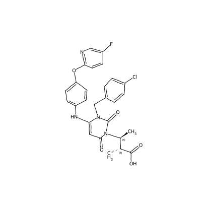 C[C@@H](C(=O)O)[C@H](C)n1c(=O)cc(Nc2ccc(Oc3ccc(F)cn3)cc2)n(Cc2ccc(Cl)cc2)c1=O